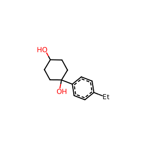 CCc1ccc(C2(O)CCC(O)CC2)cc1